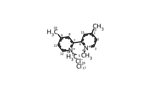 Cc1cc[n+](C)c(-c2cc(C)cc[n+]2C)c1.[Cl-].[Cl-]